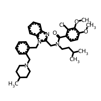 COc1ccc(C(=O)N(CCC(C)C)Cc2nc3ccccc3n2Cc2ccccc2CN2CCC(C)CC2)c(Cl)c1OC